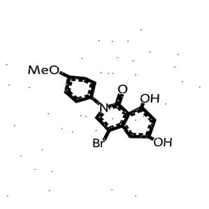 COc1ccc(-n2cc(Br)c3cc(O)cc(O)c3c2=O)cc1